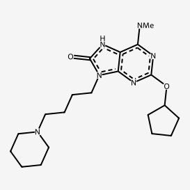 CNc1nc(OC2CCCC2)nc2c1[nH]c(=O)n2CCCCN1CCCCC1